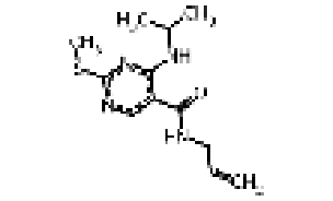 C=CCNC(=O)c1cnc(SC)nc1NC(C)C